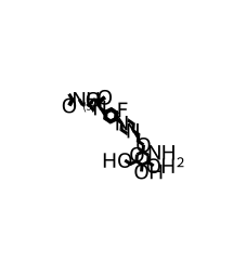 CC(=O)NC[C@H]1CN(c2ccc(N3CCN(CCOC4OC(CO)C(O)C(O)C4N)CC3)c(F)c2)C(=O)O1